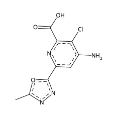 Cc1nnc(-c2cc(N)c(Cl)c(C(=O)O)n2)o1